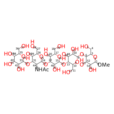 COC1OC(CO)C(OC2OC(CO)C(OC3OC(CO)C(O)C(OC4OC(CO)C(O)C(OC5OC(CO)C(O)C(O)C5O)C4NC(C)=O)C3O)C(O)C2O)C(O)C1O